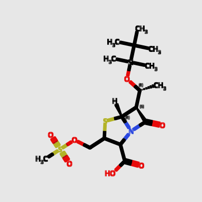 C[C@@H](O[Si](C)(C)C(C)(C)C)[C@H]1C(=O)N2C(C(=O)O)C(COS(C)(=O)=O)S[C@H]12